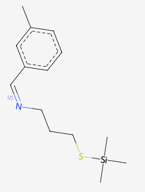 Cc1cccc(/C=N\CCCS[Si](C)(C)C)c1